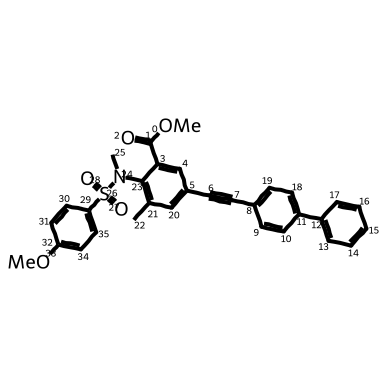 COC(=O)c1cc(C#Cc2ccc(-c3ccccc3)cc2)cc(C)c1N(C)S(=O)(=O)c1ccc(OC)cc1